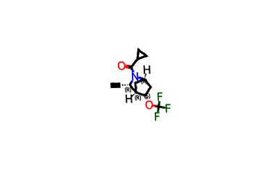 C#C[C@H]1[C@H]2C[C@H](C[C@@H]2OC(F)(F)F)N1C(=O)C1CC1